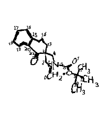 C=CC[C@]1(CNC(=O)OC(C)(C)C)CCc2ccccc2C1=O